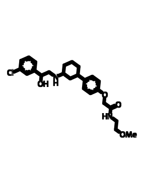 COCCNC(=O)COc1ccc(C2CCCC(NCC(O)c3cccc(Cl)c3)C2)cc1